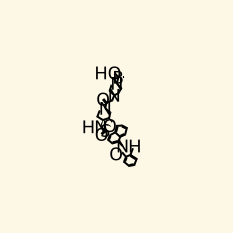 CB(O)N1CCN(CC(=O)N2CC[C@H](NS(=O)(=O)c3ccc(NC(=O)c4ccccc4C)c4ccccc34)[C@H](C)C2)CC1